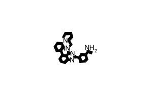 C=C(N)c1cccc(-c2nc(NCc3ccccn3)c3c(-c4ccccc4)cccc3n2)c1